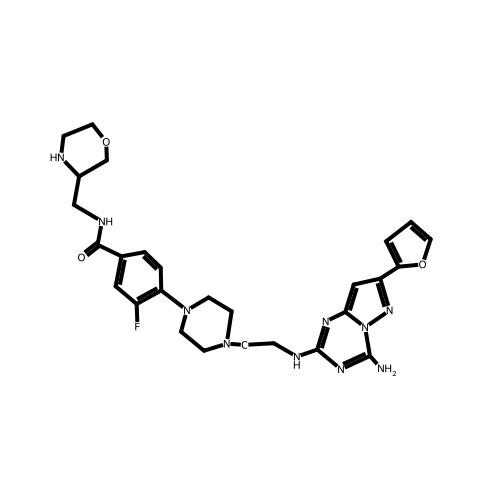 Nc1nc(NCCN2CCN(c3ccc(C(=O)NCC4COCCN4)cc3F)CC2)nc2cc(-c3ccco3)nn12